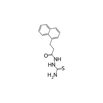 NC(=S)NNC(=O)CCc1cccc2ccccc12